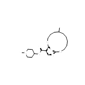 CC1CCCCCNc2ncc(C(=O)NC3CCN(C(C)C)CC3)c(n2)NCCC1